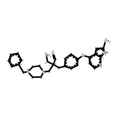 Cc1cc2c(Oc3ccc(CC(C=O)(CN)CN4CCN(Cc5ccccc5)CC4)cc3)ccnc2[nH]1